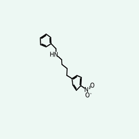 O=[N+]([O-])c1ccc(CCCCNCc2ccccc2)cc1